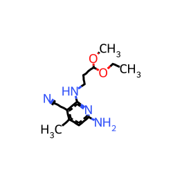 CCOC(CCNc1nc(N)cc(C)c1C#N)OC